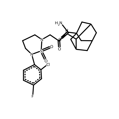 NC(=O)C12CC3CC(C1)C(NC(=O)CN1CCCN(c4ccc(F)cc4Cl)S1(=O)=O)C(C3)C2